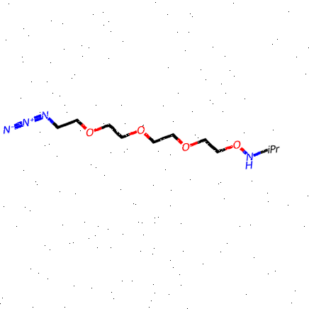 CC(C)NOCCOCCOCCOCCN=[N+]=[N-]